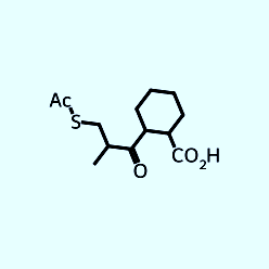 CC(=O)SCC(C)C(=O)C1CCCCC1C(=O)O